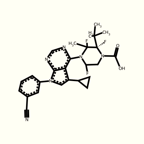 CC(C)(C)[C@@]1(F)N(C(=O)O)CC(F)N(c2ncnc3c2c(C2CC2)cn3-c2cccc(C#N)c2)C1(C)F